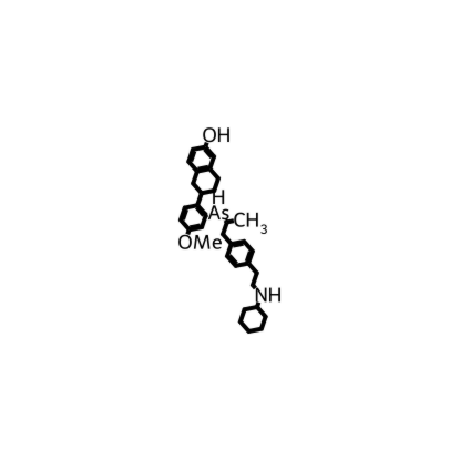 COc1ccc(C2CCc3cc(O)ccc3C2)c([AsH]C(C)Cc2ccc(CCNC3CCCCC3)cc2)c1